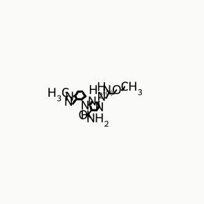 CCOC[C@H](N)CNc1ncc(C(N)=O)c(Nc2cccc3c2cnn3C)n1